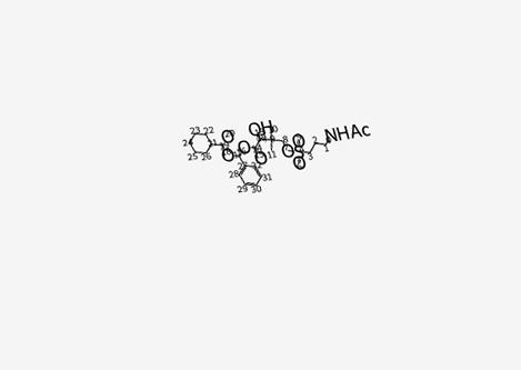 CC(=O)NCCCS(=O)(=O)OCC(C)(C)[C@@H](O)C(=O)OC(OC(=O)C1CCCCC1)c1ccccc1